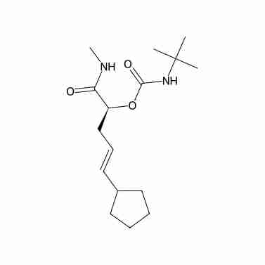 CNC(=O)[C@H](CC=CC1CCCC1)OC(=O)NC(C)(C)C